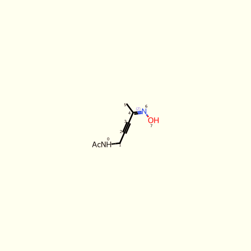 CC(=O)NCC#C/C(C)=N\O